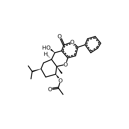 CC(=O)O[C@H]1C[C@@H](C(C)C)C[C@H]2[C@@H](O)c3c(cc(-c4ccccc4)oc3=O)O[C@]12C